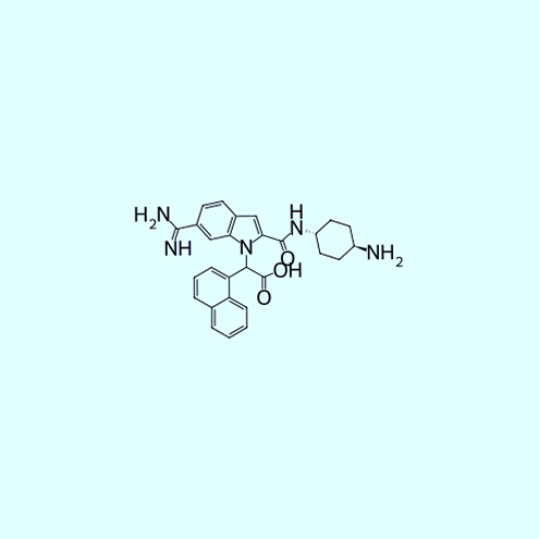 N=C(N)c1ccc2cc(C(=O)N[C@H]3CC[C@H](N)CC3)n(C(C(=O)O)c3cccc4ccccc34)c2c1